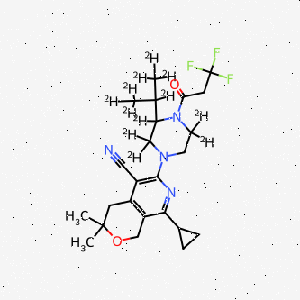 [2H]C1([2H])CN(c2nc(C3CC3)c3c(c2C#N)CC(C)(C)OC3)C([2H])([2H])C([2H])(C([2H])(C([2H])([2H])[2H])C([2H])([2H])[2H])N1C(=O)CC(F)(F)F